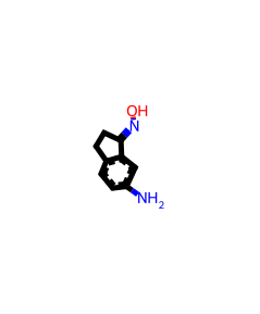 Nc1ccc2c(c1)C(=NO)CC2